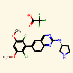 COc1cc(OC)c(Cl)c(-c2ccc3nc(N[C@@H]4CCNC4)ncc3c2)c1Cl.O=C(O)C(F)(F)F